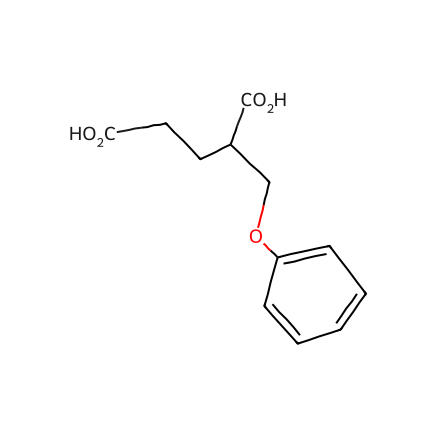 O=C(O)CCC(COc1ccccc1)C(=O)O